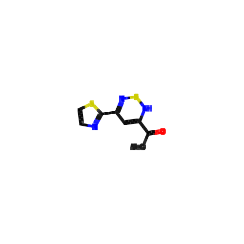 COC(=O)C1=CC(c2nccs2)=NSN1